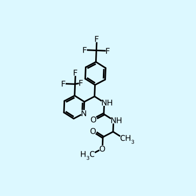 COC(=O)C(C)NC(=O)NC(c1ccc(C(F)(F)F)cc1)c1ncccc1C(F)(F)F